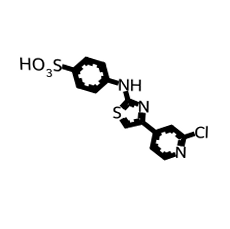 O=S(=O)(O)c1ccc(Nc2nc(-c3ccnc(Cl)c3)cs2)cc1